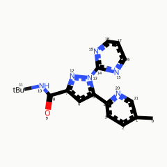 Cc1ccc(-c2cc(C(=O)NC(C)(C)C)nn2-c2ncccn2)nc1